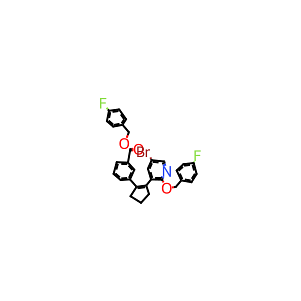 O=C(OCc1ccc(F)cc1)c1cccc(C2=C(c3cc(Br)cnc3OCc3ccc(F)cc3)CCC2)c1